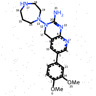 COc1ccc(-c2cnc3c(c2)CN(N2CCCNCC2)C(N)=N3)cc1OC